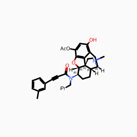 CC(=O)Oc1cc(O)c2c3c1O[C@H]1[C@H](N(CC(C)C)C(=O)C#Cc4cccc(C)c4)CC[C@H]4[C@@H](C2)N(C)CC[C@@]341